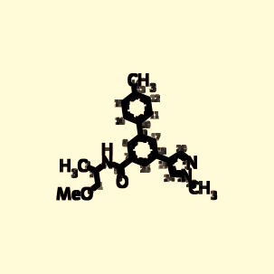 COCC(C)NC(=O)c1cc(-c2ccc(C)cc2)cc(-c2cnn(C)c2)c1